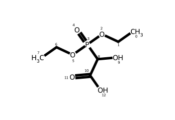 CCOP(=O)(OCC)C(O)C(=O)O